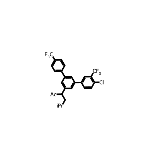 CC(=O)C(CC(C)C)c1cc(-c2ccc(C(F)(F)F)cc2)cc(-c2ccc(Cl)c(C(F)(F)F)c2)c1